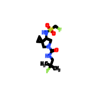 CC(C)(F)CNC(=O)N1CC(NS(=O)(=O)CF)C2(CC2)C1